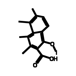 Cc1ccc2c(OI)c(C(=O)O)c(C)c(C)c2c1C